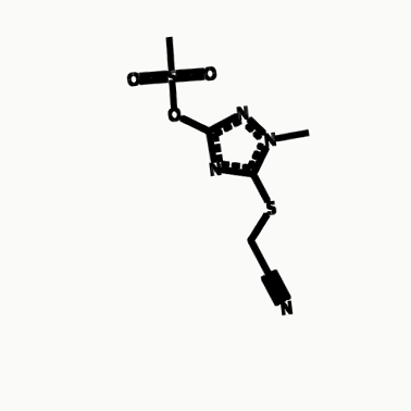 Cn1nc(OS(C)(=O)=O)nc1SCC#N